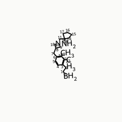 BCCc1ccc(CC2CN(CC3(N)CCCC3)C2)c(C)c1C